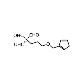 O=CS(C=O)(C=O)CCCOCC1=CCC=C1